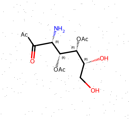 CC(=O)O[C@@H]([C@H](OC(C)=O)[C@@H](N)C(=O)C(C)=O)[C@H](O)CO